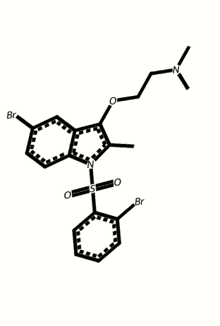 Cc1c(OCCN(C)C)c2cc(Br)ccc2n1S(=O)(=O)c1ccccc1Br